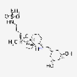 C[C@H](CCCNS(N)(=O)=O)[C@H]1CC[C@H]2/C(=C/C=C3C[C@@H](O)C[C@H](O)C3)CCC[C@]12C